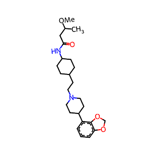 COC(C)CC(=O)NC1CCC(CCN2CCC(c3cccc4c3OCO4)CC2)CC1